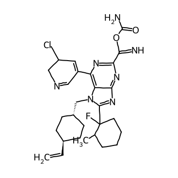 C=C[C@H]1CC[C@H](Cn2c(C3(F)CCCCC3C)nc3nc(C(=N)OC(N)=O)nc(C4=CC(Cl)CN=C4)c32)CC1